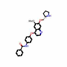 COc1cc2c(Oc3ccc(NC(=O)c4ccccc4)cc3)ccnc2cc1OC[C@@H]1CCCN1